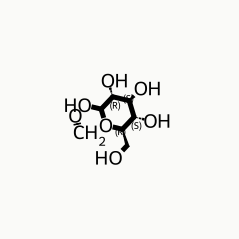 C=O.OC[C@H]1OC(O)[C@H](O)[C@@H](O)[C@@H]1O